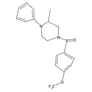 CC1CN(C(=O)c2ccc(OC(F)(F)F)cc2)CCN1c1ccccc1